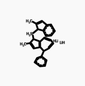 CC1=CC2=C(C=CC=CC2c2ccccc2)C1[SiH2]C1C(C)=Cc2ccccc21.[LiH].[LiH]